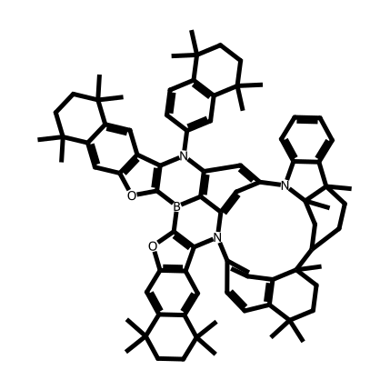 CC1(C)CCC(C)(C)c2cc(N3c4cc5cc6c4B(c4oc7cc8c(cc7c43)C(C)(C)CCC8(C)C)c3oc4cc7c(cc4c3N6c3ccc4c(c3)C(C)(CCC4(C)C)C3CCC4(C)c6ccccc6N5C4(C)C3)C(C)(C)CCC7(C)C)ccc21